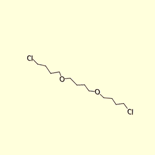 ClCCCCOCCCCOCCCCCl